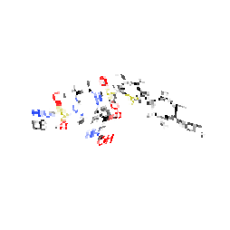 CCNS(=O)(=O)N1CCN(S(=O)(=O)c2ccc(-c3ccc(C(F)(F)F)cc3)s2)[C@@H](C(=O)NO)C1